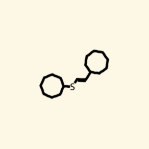 C(=C\C1CCCCCCC1)/SC1CCCCCCC1